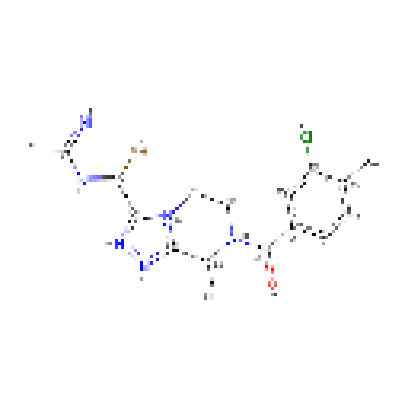 CC(=N)/N=C(\S)c1nnc2n1CCN(C(=O)c1ccc(C)c(Cl)c1)C2C